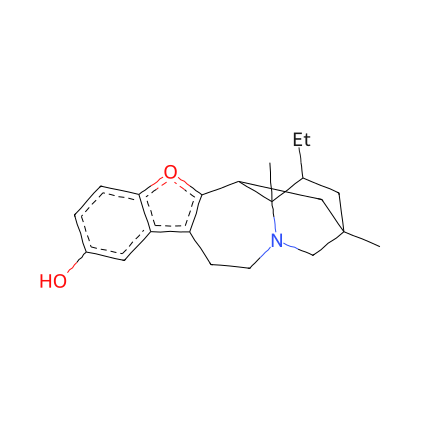 CCC1CC2(C)CC3c4oc5ccc(O)cc5c4CCN(C2)C13C